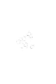 CC1C=Cc2c(oc3cccc(-c4cc(-c5nc(C6=CCCC=C6)nc(-c6ccccc6)n5)c5c(c4)oc4ccccc45)c23)C1